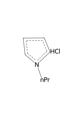 CCCn1cccc1.Cl